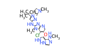 CNC1=NC=CN/C1=C(\C=N)Oc1cnc2nc(Nc3cc(C(C)(C)C)n([C@@H]4CCN(C)C4)n3)n(C)c2c1Cl